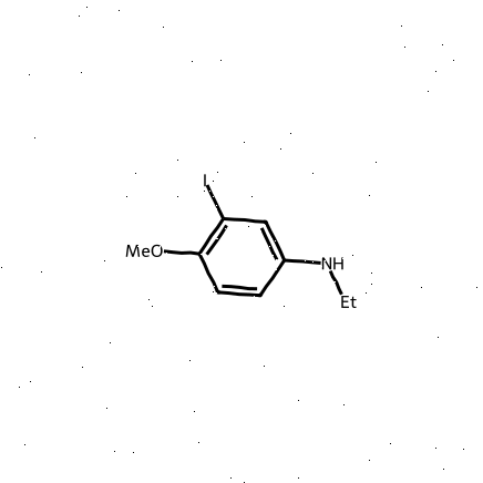 CCNc1ccc(OC)c(I)c1